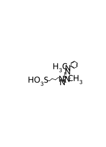 CN(N=Cc1n(C)cn[n+]1CCCCS(=O)(=O)O)c1ccccc1